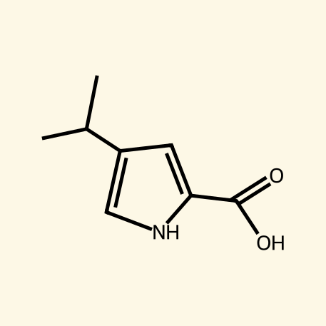 CC(C)c1c[nH]c(C(=O)O)c1